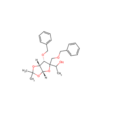 CC(O)C1(COCc2ccccc2)O[C@@H]2OC(C)(C)O[C@@H]2[C@@H]1OCc1ccccc1